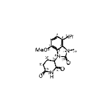 COc1ccc(C(C)C)c2c1n(C1CCC(=O)NC1=O)c(=O)n2C